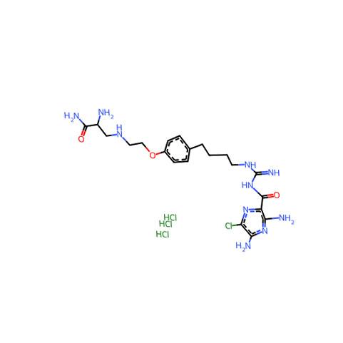 Cl.Cl.Cl.N=C(NCCCCc1ccc(OCCNCC(N)C(N)=O)cc1)NC(=O)c1nc(Cl)c(N)nc1N